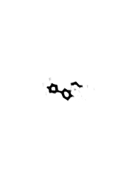 Cc1ccn(-c2cc(-c3cc(F)c(F)c(F)c3)ccc2C)n1